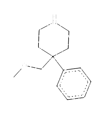 COCC1(c2ccccc2)CCNCC1